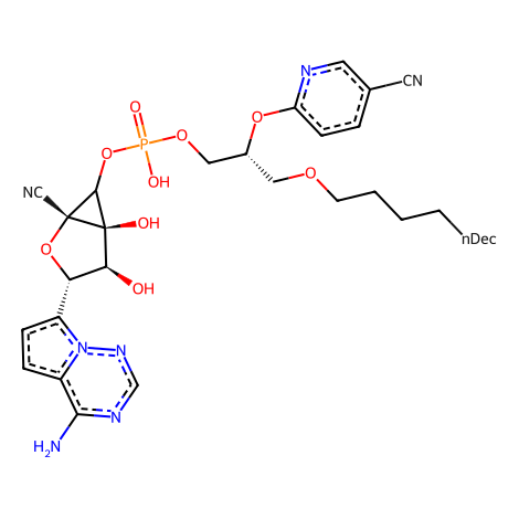 CCCCCCCCCCCCCCOC[C@H](COP(=O)(O)OC1[C@@]2(C#N)O[C@@H](c3ccc4c(N)ncnn34)[C@H](O)[C@@]12O)Oc1ccc(C#N)cn1